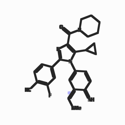 CN/C=C1/C=C(n2c(-c3ccc(C#N)c(F)c3)nc(C(=O)N3CCCCC3)c2C2CC2)C=CC1=N